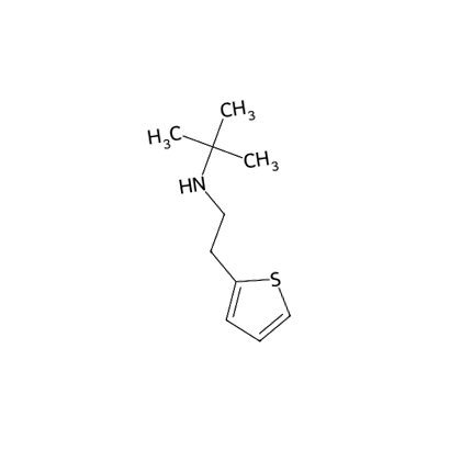 CC(C)(C)NCCc1cccs1